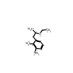 CCOC(C)Cc1cccc(N)c1N